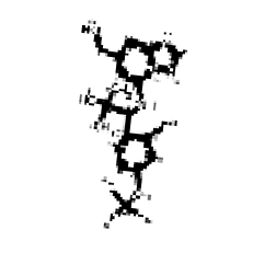 CC(C)(O)C(Nc1cc(CO)cc2ncnn12)c1ccc(OC(F)(F)F)cc1F